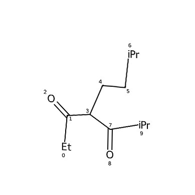 CCC(=O)C(CCC(C)C)C(=O)C(C)C